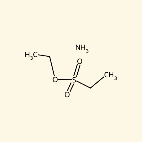 CCOS(=O)(=O)CC.N